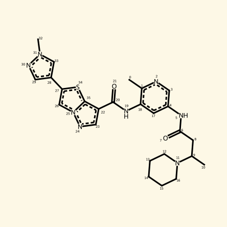 Cc1ncc(NC(=O)CC(C)N2CCCCC2)cc1NC(=O)c1cnn2cc(-c3cnn(C)c3)sc12